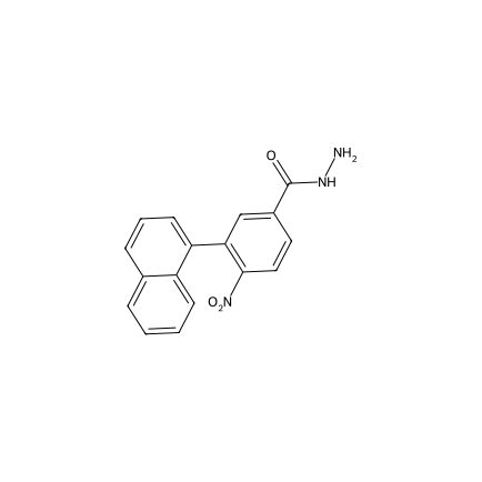 NNC(=O)c1ccc([N+](=O)[O-])c(-c2cccc3ccccc23)c1